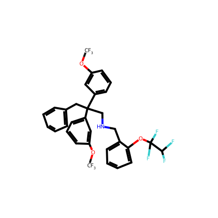 FC(F)C(F)(F)Oc1ccccc1CNCC(Cc1ccccc1)(c1cccc(OC(F)(F)F)c1)c1cccc(OC(F)(F)F)c1